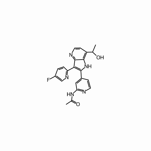 CC(=O)Nc1cc(-c2[nH]c3c(C(C)O)ccnc3c2-c2ccc(F)cn2)ccn1